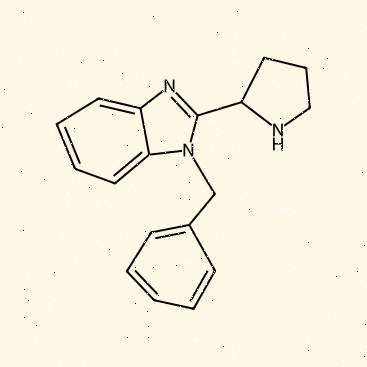 c1ccc(Cn2c(C3CCCN3)nc3ccccc32)cc1